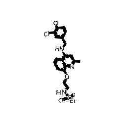 CCS(=O)(=O)NCCOc1cccc2c(NCc3ccc(Cl)c(Cl)c3)cc(C)nc12